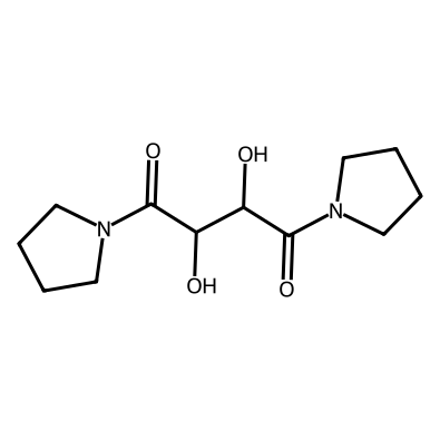 O=C(C(O)C(O)C(=O)N1CCCC1)N1CCCC1